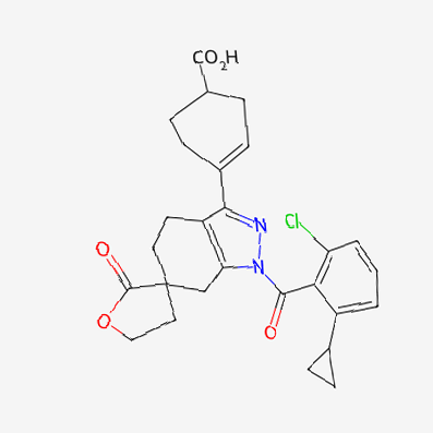 O=C(O)C1CC=C(c2nn(C(=O)c3c(Cl)cccc3C3CC3)c3c2CCC2(CCOC2=O)C3)CC1